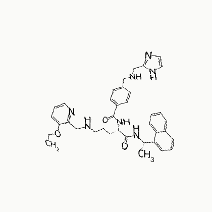 CCOc1cccnc1CNCCC[C@H](NC(=O)c1ccc(CNCc2ncc[nH]2)cc1)C(=O)N[C@@H](C)c1cccc2ccccc12